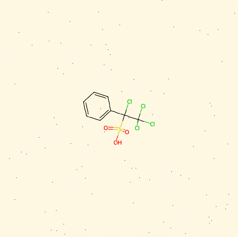 O=S(=O)(O)C(Cl)(c1ccccc1)C(Cl)(Cl)Cl